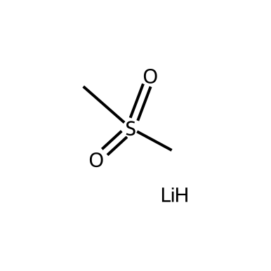 CS(C)(=O)=O.[LiH]